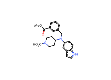 COC(=O)c1cccc(CN(c2ccc3[nH]ccc3c2)C2CCN(C(=O)O)CC2)c1